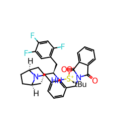 CC(C)(C)[S@+]([O-])N[C@H](Cc1cc(F)c(F)cc1F)[C@@H]1C[C@H]2CC[C@@H](C1)N2Cc1cccc(CN2C(=O)c3ccccc3C2=O)c1